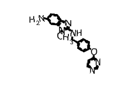 Cn1c(NCc2ccc(Oc3ccncn3)cc2)nc2ccc(N)cc21